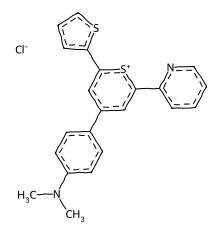 CN(C)c1ccc(-c2cc(-c3ccccn3)[s+]c(-c3cccs3)c2)cc1.[Cl-]